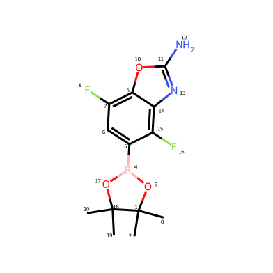 CC1(C)OB(c2cc(F)c3oc(N)nc3c2F)OC1(C)C